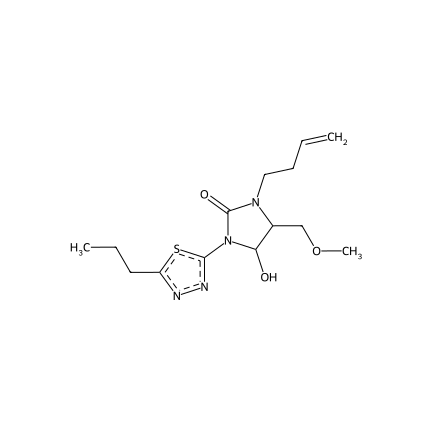 C=CCCN1C(=O)N(c2nnc(CCC)s2)C(O)C1COC